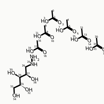 CC(=O)O.CC(=O)O.CC(=O)O.CC(=O)O.CC(=O)O.CC(=O)O.NNC[C@@H](O)[C@H](O)[C@H](O)CO